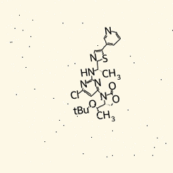 C[C@H](Nc1nc(Cl)cc(N2C(=O)OC[C@@H]2[C@@H](C)OC(C)(C)C)n1)c1ncc(-c2cccnc2)s1